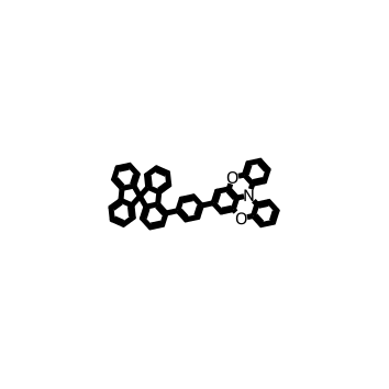 c1ccc2c(c1)Oc1cc(-c3ccc(-c4cccc5c4-c4ccccc4C54c5ccccc5-c5ccccc54)cc3)cc3c1N2c1ccccc1O3